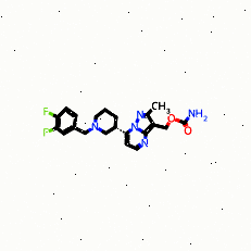 Cc1nn2c([C@H]3CCCN(Cc4ccc(F)c(F)c4)C3)ccnc2c1COC(N)=O